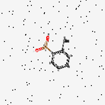 CC(C)(C)c1ccccc1[SH](=O)=O